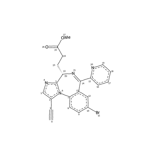 C#Cc1cnc2n1-c1ccc(Br)cc1C(c1ccccn1)=N[C@H]2CCC(=O)OC